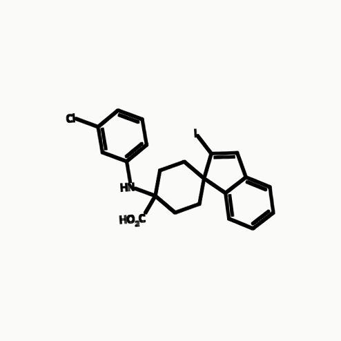 O=C(O)C1(Nc2cccc(Cl)c2)CCC2(CC1)C(I)=Cc1ccccc12